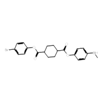 CBc1ccc(OC(=O)C2CCC(C(=O)Oc3ccc(Br)cc3)CC2)cc1